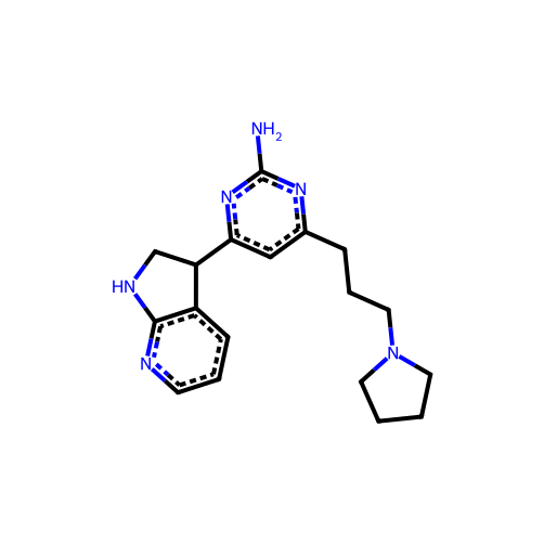 Nc1nc(CCCN2CCCC2)cc(C2CNc3ncccc32)n1